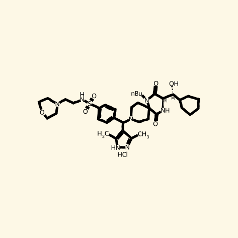 CCCCN1C(=O)[C@@H]([C@H](O)C2CCCCC2)NC(=O)C12CCN(C(c1ccc(S(=O)(=O)NCCN3CCOCC3)cc1)c1c(C)n[nH]c1C)CC2.Cl